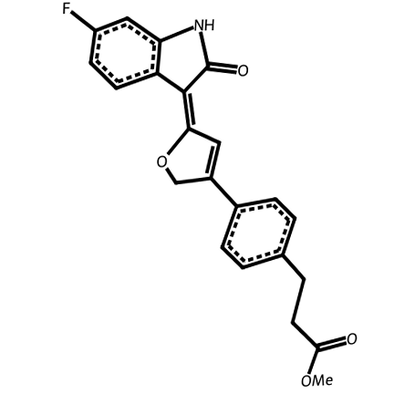 COC(=O)CCc1ccc(C2=C/C(=C3\C(=O)Nc4cc(F)ccc43)OC2)cc1